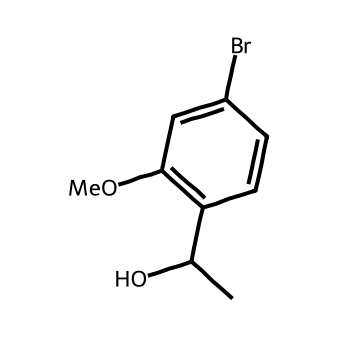 COc1cc(Br)ccc1C(C)O